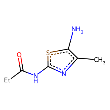 CCC(=O)Nc1nc(C)c(N)s1